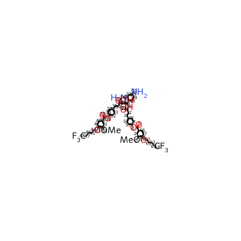 COc1cc(C(=O)Oc2ccc(C=CC(=O)CC(c3ccc(N)cc3N)C(O)(O)C(=O)C=Cc3ccc(OC(=O)c4ccc(OCCCCC(F)(F)F)c(OC)c4)cc3)cc2)ccc1OCCCCC(F)(F)F